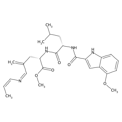 C=C(/C=N\C=C/C)C[C@H](NC(=O)[C@H](CC(C)C)NC(=O)c1cc2c(OC)cccc2[nH]1)C(=O)OC